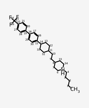 CCCCC[SiH]1CCC(CCC2CCC(c3ccc(-c4ccc(C(F)(F)F)cc4)cc3)CC2)CC1